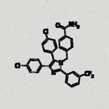 NC(=O)c1ccc(Cn2c(-c3cccc(C(F)(F)F)c3)nc(-c3ccc(Cl)cc3)c2-c2ccc(Cl)cc2)cc1